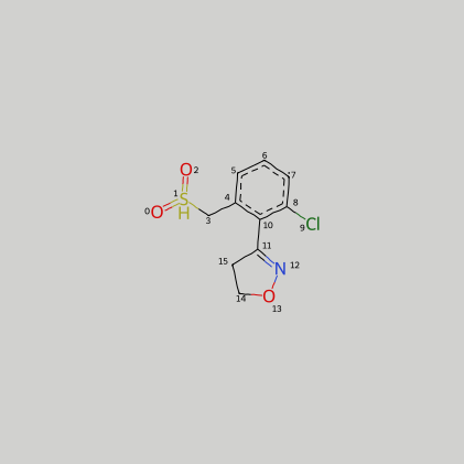 O=[SH](=O)Cc1cc[c]c(Cl)c1C1=NOCC1